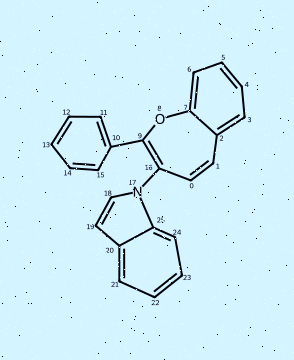 C1=Cc2ccccc2OC(c2ccccc2)=C1n1ccc2ccccc21